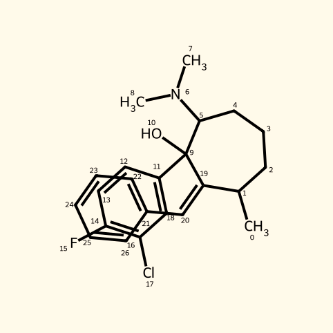 CC1CCCC(N(C)C)C(O)(c2ccc(F)c(Cl)c2)C1=Cc1ccccc1